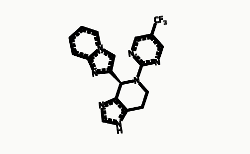 FC(F)(F)c1cnc(N2CCc3[nH]cnc3[C@H]2c2cn3ccccc3n2)nc1